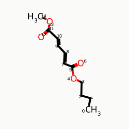 CCCCOC(=O)/C=C/C=C/C(=O)OC